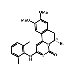 CC[C@H]1Cc2cc(OC)c(OC)cc2-c2cc(Nc3c(C)cccc3C)nc(=O)n21